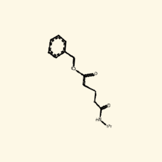 CCCNC(=O)CCCC(=O)OCc1ccccc1